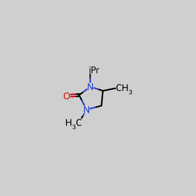 CC(C)N1C(=O)N(C)CC1C